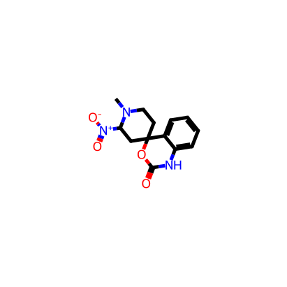 CN1CCC2(CC1[N+](=O)[O-])OC(=O)Nc1ccccc12